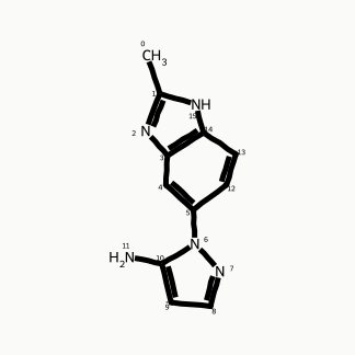 Cc1nc2cc(-n3nc[c]c3N)ccc2[nH]1